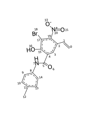 C=Cc1cc(C(=O)Nc2ccc(C)cc2)c(O)c(Br)c1[N+](=O)[O-]